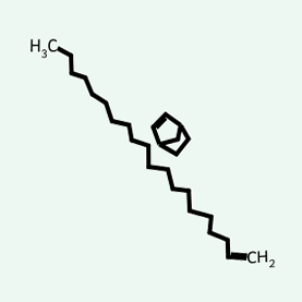 C1=CC2CCC1C2.C=CCCCCCCCCCCCCCCCCCC